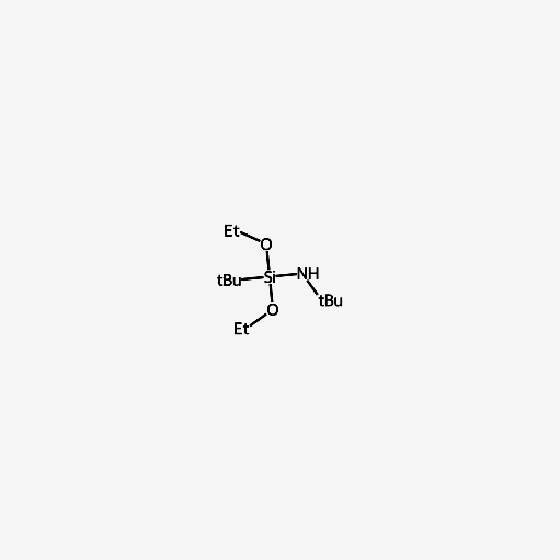 CCO[Si](NC(C)(C)C)(OCC)C(C)(C)C